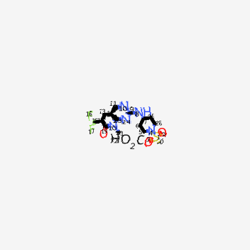 CS(=O)(=O)N1CCC(Nc2ncc3cc(C(F)F)c(=O)n(CC(=O)O)c3n2)CC1